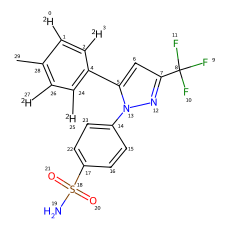 [2H]c1c([2H])c(-c2cc(C(F)(F)F)nn2-c2ccc(S(N)(=O)=O)cc2)c([2H])c([2H])c1C